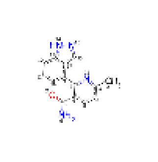 Cc1ccc(C(N)=O)c(-c2cccc3[nH]ncc23)n1